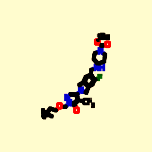 CC(C)(C)OC(=O)N1CCC(NCc2cc3c(cc2F)CN(c2cnn(COCC[Si](C)(C)C)c(=O)c2C(F)(F)F)C3)CC1